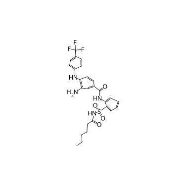 CCCCCC(=O)NS(=O)(=O)c1ccccc1NC(=O)c1ccc(Nc2ccc(C(F)(F)F)cc2)c(N)c1